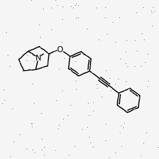 CN1C2CCC1CC(Oc1ccc(C#Cc3ccccc3)cc1)C2